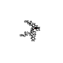 CC(OC(=O)OC(C)(C)C)C(=O)OC(C(=O)OC1=CC[C@@]2(O)[C@H]3Cc4ccc(OC(=O)OC(C)(C)C)c5c4[C@@]2(CCN3C)[C@H]1O5)c1ccccc1